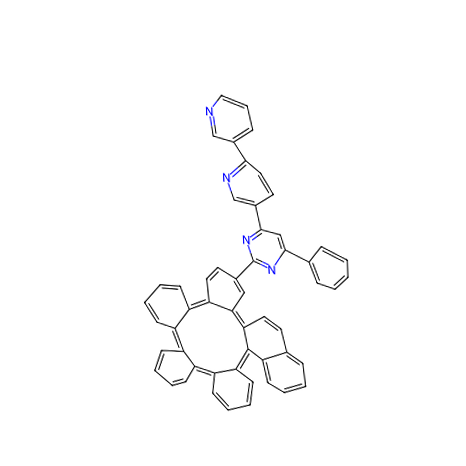 c1ccc(-c2cc(-c3ccc(-c4cccnc4)nc3)nc(-c3ccc4c5ccccc5c5ccccc5c5ccccc5c5c6ccccc6ccc5c4c3)n2)cc1